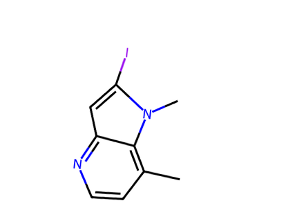 Cc1ccnc2cc(I)n(C)c12